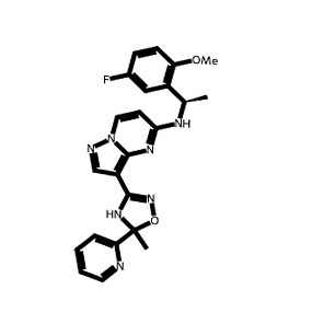 COc1ccc(F)cc1[C@@H](C)Nc1ccn2ncc(C3=NOC(C)(c4ccccn4)N3)c2n1